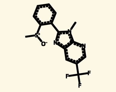 Cn1c(-c2ccccc2[S+](C)[O-])nc2cc(C(F)(F)F)cnc21